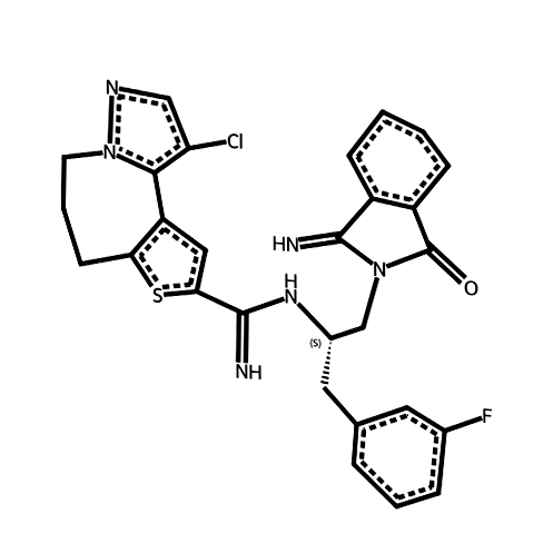 N=C(N[C@@H](Cc1cccc(F)c1)CN1C(=N)c2ccccc2C1=O)c1cc2c(s1)CCCn1ncc(Cl)c1-2